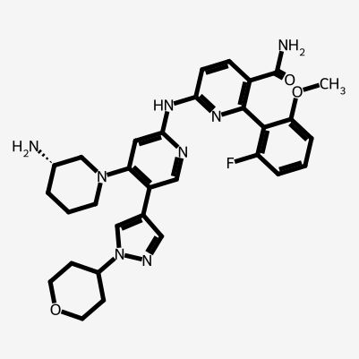 COc1cccc(F)c1-c1nc(Nc2cc(N3CCC[C@H](N)C3)c(-c3cnn(C4CCOCC4)c3)cn2)ccc1C(N)=O